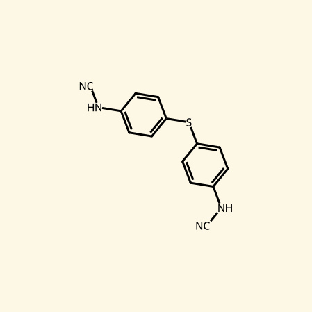 N#CNc1ccc(Sc2ccc(NC#N)cc2)cc1